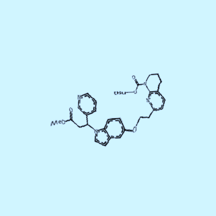 COC(=O)CC(c1cccnc1)n1ccc2cc(OCCc3ccc4c(n3)N(C(=O)OC(C)(C)C)CCC4)ccc21